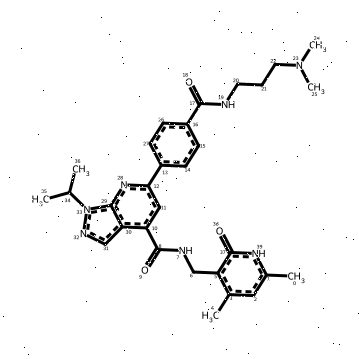 Cc1cc(C)c(CNC(=O)c2cc(-c3ccc(C(=O)NCCCN(C)C)cc3)nc3c2cnn3C(C)C)c(=O)[nH]1